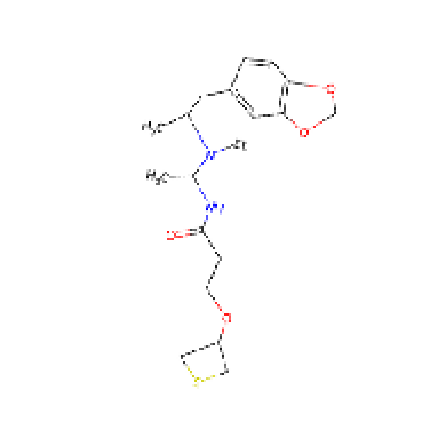 CCN(C(C)Cc1ccc2c(c1)OCO2)C(C)NC(=O)CCOC1CSC1